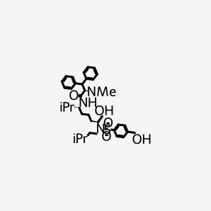 CN[C@H](C(=O)N[C@H](CCC[C@@H](CO)N(CCC(C)C)S(=O)(=O)c1ccc(CO)cc1)C(C)C)C(c1ccccc1)c1ccccc1